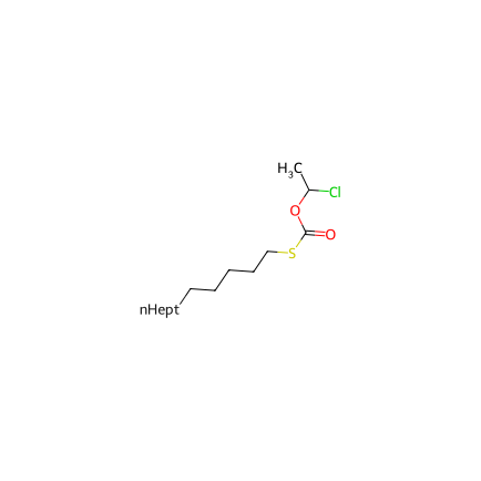 CCCCCCCCCCCCSC(=O)OC(C)Cl